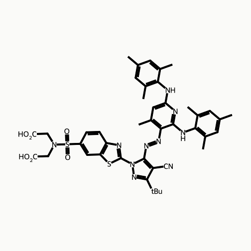 Cc1cc(C)c(Nc2cc(C)c(N=Nc3c(C#N)c(C(C)(C)C)nn3-c3nc4ccc(S(=O)(=O)N(CC(=O)O)CC(=O)O)cc4s3)c(Nc3c(C)cc(C)cc3C)n2)c(C)c1